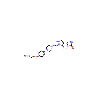 COCCOc1ccc(N2CCN(CCN3NC=C4C3=NCN3C(=O)N=NC43)CC2)cc1